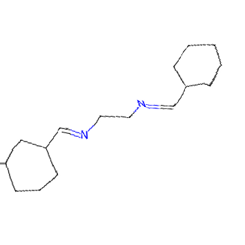 C(=NCCN=CC1CCCCC1)C1CCCCC1